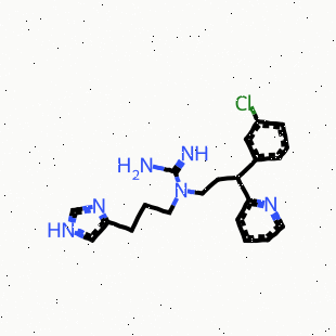 N=C(N)N(CCCc1c[nH]cn1)CCC(c1cccc(Cl)c1)c1ccccn1